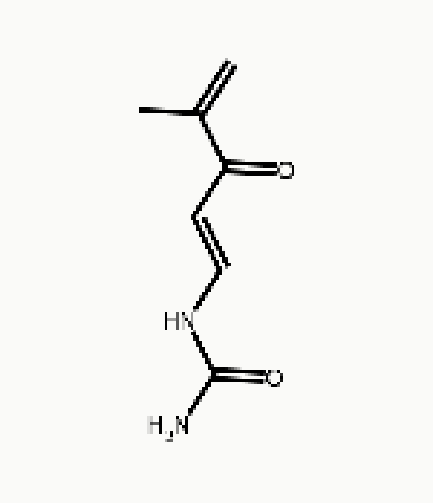 C=C(C)C(=O)C=CNC(N)=O